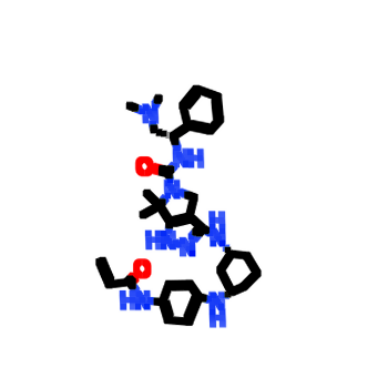 C=CC(=O)Nc1ccc(N[C@H]2CCC[C@@H](Nc3n[nH]c4c3CN(C(=O)N[C@H](CN(C)C)c3ccccc3)C4(C)C)C2)cc1